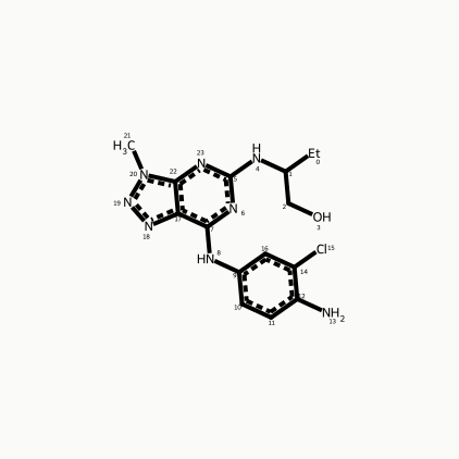 CCC(CO)Nc1nc(Nc2ccc(N)c(Cl)c2)c2nnn(C)c2n1